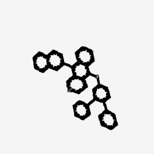 c1ccc(-c2ccc(Oc3c4ccccc4c(-c4ccc5ccccc5c4)c4cnccc34)cc2-c2ccccc2)cc1